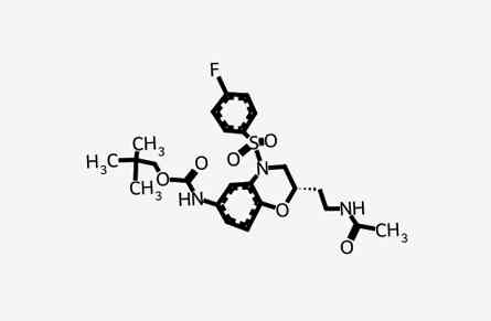 CC(=O)NCC[C@H]1CN(S(=O)(=O)c2ccc(F)cc2)c2cc(NC(=O)OCC(C)(C)C)ccc2O1